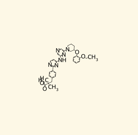 CCOc1ccccc1OC1CCCN(c2cncc(Nc3ccnc(-c4ccc(CC(C)(C)C(=O)O)cc4)n3)n2)C1